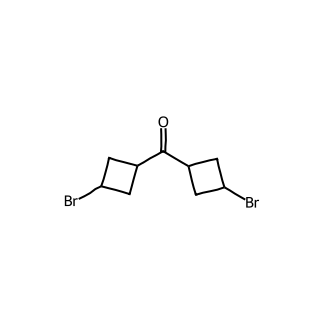 O=C(C1CC(Br)C1)C1CC(Br)C1